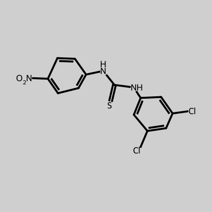 O=[N+]([O-])c1ccc(NC(=S)Nc2cc(Cl)cc(Cl)c2)cc1